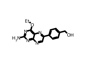 CCOc1nc(N)nc2ncc(-c3ccc(CO)cc3)nc12